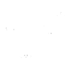 COC=C(C=CC(=O)COC(C)=O)OC(C)=O